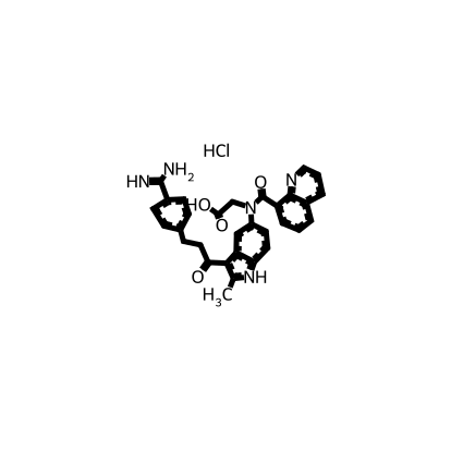 Cc1[nH]c2ccc(N(CC(=O)O)C(=O)c3cccc4cccnc34)cc2c1C(=O)CCc1ccc(C(=N)N)cc1.Cl